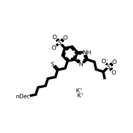 CCCCCCCCCCCCCCCC(=S)Cc1cc(S(=O)(=O)[O-])cc2[nH]c(CCC(C)S(=O)(=O)[O-])nc12.[K+].[K+]